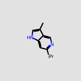 Cc1c[nH]c2cc(C(C)C)ncc12